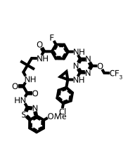 COc1cccc2sc(NC(=O)C(=O)NCC(C)(C)CNC(=O)c3ccc(Nc4nc(NC5(c6ccc(Cl)cc6)CC5)nc(OCC(F)(F)F)n4)cc3F)nc12